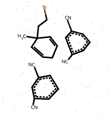 CC1(CCBr)C=CCC=C1.N#Cc1cccc(C#N)c1.N#Cc1cccc(C#N)c1